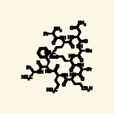 CC[C@H](C)[C@H](NC(=O)[C@H](CC(N)=O)NC(=O)[C@H](CCC(=O)O)NC(=O)[C@@H](N)C(C)C)C(=O)N[C@@H](CCSC)C(=O)N[C@H](C(=O)N[C@@H](CCC(=O)O)C(=O)N[C@@H](CCC(=O)O)C(=O)N[C@@H](Cc1ccccc1)C(=O)N[C@H](C(=O)O)C(C)C)C(C)C